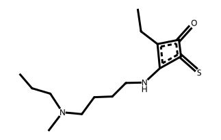 CCCN(C)CCCCNc1c(CC)c(=O)c1=S